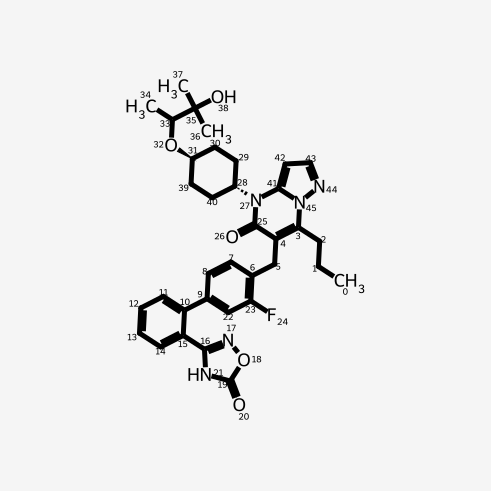 CCCc1c(Cc2ccc(-c3ccccc3-c3noc(=O)[nH]3)cc2F)c(=O)n([C@H]2CC[C@H](OC(C)C(C)(C)O)CC2)c2ccnn12